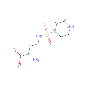 NC(CCNS(=O)(=O)N1CCNCC1)C(=O)O